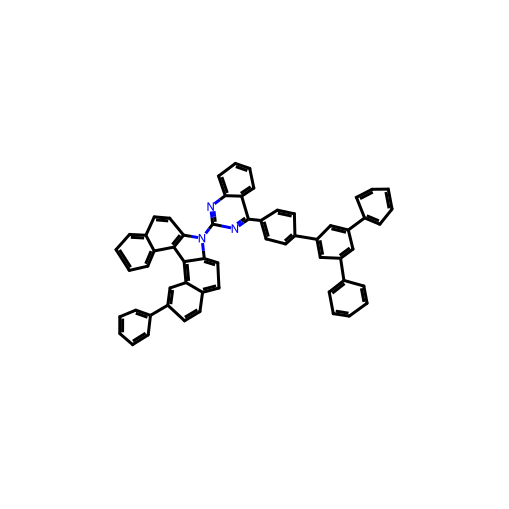 c1ccc(-c2cc(-c3ccccc3)cc(-c3ccc(-c4nc(-n5c6ccc7ccccc7c6c6c7cc(-c8ccccc8)ccc7ccc65)nc5ccccc45)cc3)c2)cc1